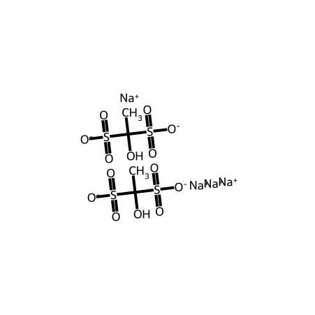 CC(O)(S(=O)(=O)[O-])S(=O)(=O)[O-].CC(O)(S(=O)(=O)[O-])S(=O)(=O)[O-].[Na+].[Na+].[Na+].[Na+]